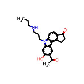 CCCNCCCn1c2cc(O)c(C(C)=O)cc2c2c3c(ccc21)C(=O)CC3